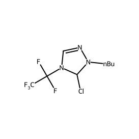 CCCCN1N=CN(C(F)(F)C(F)(F)F)C1Cl